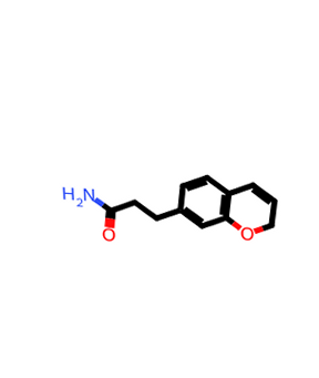 NC(=O)CCc1ccc2c(c1)OCC=C2